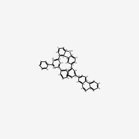 c1ccc(-c2nc(-c3ccccc3)nc(-c3cccc4oc5ccc(-c6cccc(-c7ccc8c(ccc9ccccc98)c7)c6)cc5c34)n2)cc1